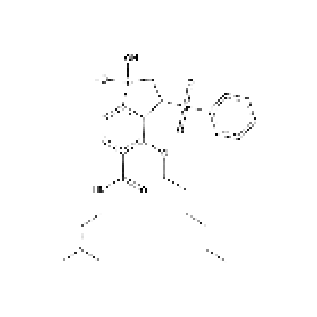 CCCCCCOc1c(C(=O)NCCN(C)C)ccc2c1C(S(=O)(=O)c1ccccc1)CS2(O)O